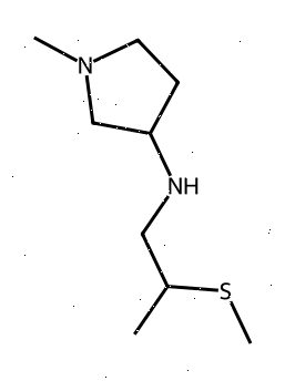 CSC(C)CNC1CCN(C)C1